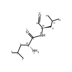 CC(C)C[C@@H](N)C(=O)N[C@@H]([C]=O)CC(C)C